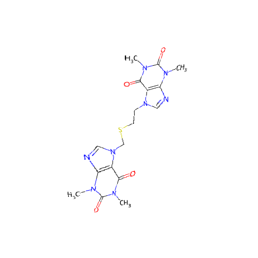 Cn1c(=O)c2c(ncn2CCSCn2cnc3c2c(=O)n(C)c(=O)n3C)n(C)c1=O